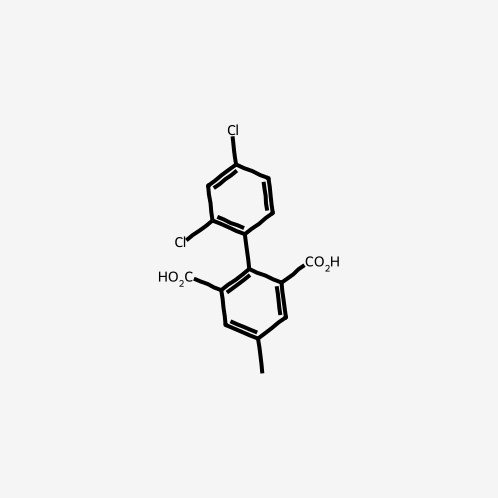 Cc1cc(C(=O)O)c(-c2ccc(Cl)cc2Cl)c(C(=O)O)c1